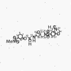 CNS(=O)(=O)c1cccc(OC[C@@H](O)CNC2COC3(CCN(S(=O)(=O)c4ccc5c(c4)N(C)CCO5)CC3)C2)c1